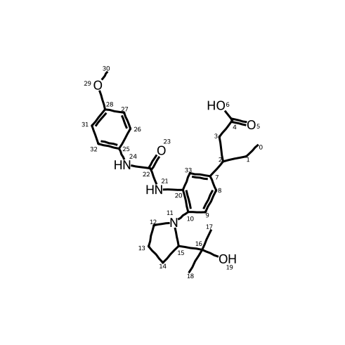 CCC(CC(=O)O)c1ccc(N2CCCC2C(C)(C)O)c(NC(=O)Nc2ccc(OC)cc2)c1